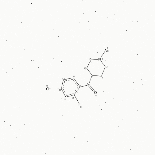 CC(=O)N1CCC(C(=O)c2ccc(Cl)cc2F)CC1